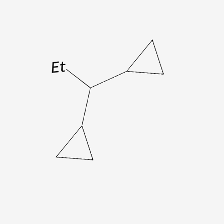 [CH2]CC(C1CC1)C1CC1